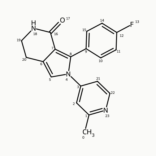 Cc1cc(-n2cc3c(c2-c2ccc(F)cc2)C(=O)NCC3)ccn1